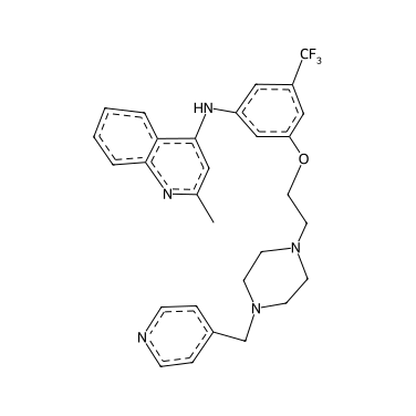 Cc1cc(Nc2cc(OCCN3CCN(Cc4ccncc4)CC3)cc(C(F)(F)F)c2)c2ccccc2n1